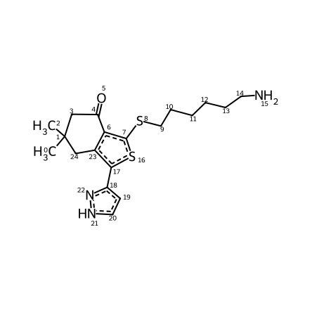 CC1(C)CC(=O)c2c(SCCCCCCN)sc(-c3cc[nH]n3)c2C1